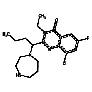 CCCC(c1nc2c(Cl)cc(F)cc2c(=O)n1CC)N1CCCNCC1